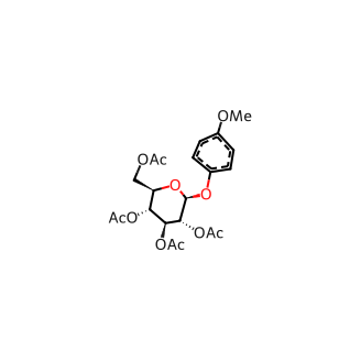 COc1ccc(O[C@@H]2O[C@H](COC(C)=O)[C@@H](OC(C)=O)[C@H](OC(C)=O)[C@H]2OC(C)=O)cc1